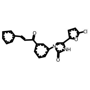 O=C(C=Cc1ccccc1)c1cccc(-n2cc(-c3ccc(Cl)o3)[nH]c2=O)c1